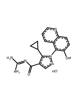 COc1ccc2ncccc2c1-n1ncc(C(=O)N=C(N)N)c1C1CC1.Cl